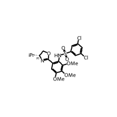 COc1cc(C2=N[C@H](C(C)C)CO2)c(NS(=O)(=O)c2cc(Cl)cc(Cl)c2)c(OC)c1OC